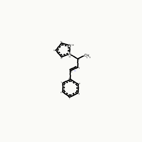 CC(/C=C/c1ccccc1)n1cccn1